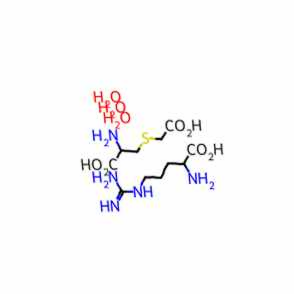 N=C(N)NCCCC(N)C(=O)O.NC(CSCC(=O)O)C(=O)O.O.O.O